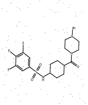 CC(C)N1CCN(C(=O)C2CCC(NS(=O)(=O)c3cc(F)c(F)c(F)c3)CC2)CC1